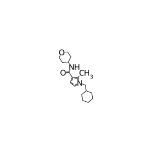 Cc1c(C(=O)NC2CCOCC2)ccn1CC1CCCCC1